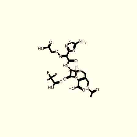 CC(=O)OCC1=C(C(=O)O)N2C(=O)[C@@H](NC(=O)C(=NOCC(=O)O)c3nsc(N)n3)[C@H]2SC1.O=C(O)C(F)(F)F